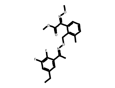 CCc1cc(F)c(F)c(/C(C)=N/OCc2c(C)cccc2/C(=N\OC)C(=O)OC)c1